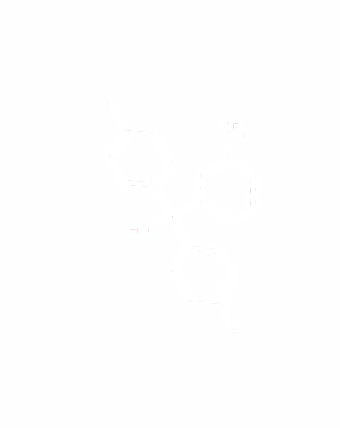 OC(c1ccc(F)cc1)(c1ccc(F)cc1)c1cccc(C(F)(F)F)c1